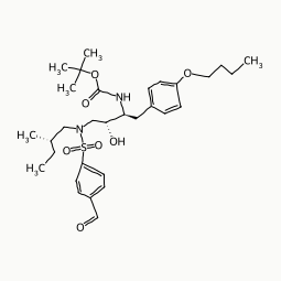 CCCCOc1ccc(C[C@H](NC(=O)OC(C)(C)C)[C@H](O)CN(C[C@@H](C)CC)S(=O)(=O)c2ccc(C=O)cc2)cc1